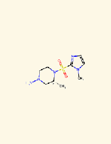 C[C@@H]1CN(N)CCN1S(=O)(=O)c1nccn1C